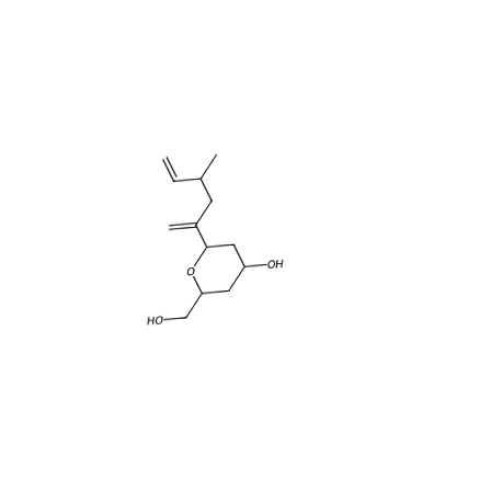 C=CC(C)CC(=C)C1CC(O)CC(CO)O1